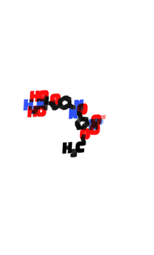 CCCOc1ccc(-c2nc(-c3ccc4oc(C(N)(CO)CO)cc4c3)no2)cc1[N+](=O)[O-]